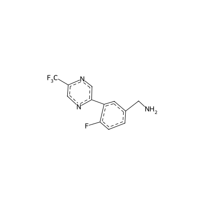 NCc1ccc(F)c(-c2cnc(C(F)(F)F)cn2)c1